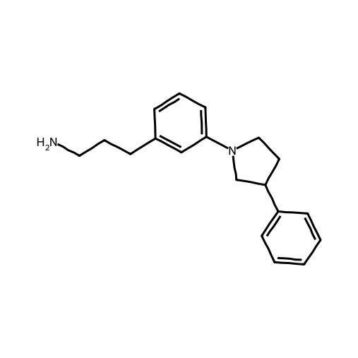 NCCCc1cccc(N2CCC(c3ccccc3)C2)c1